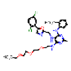 Cc1nc(NCCOCCOCCOCC(=O)O)c(NCc2ncc(-c3cc(Cl)ccc3Cl)o2)c(Nc2ccccc2C(=O)O)n1